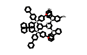 CC(C)(C)c1ccc2c(c1)c1cc(C(C)(C)C)ccc1n2-c1cc(-n2c3ccccc3c3ccccc32)nc(-c2cc([Si](c3ccc(-c4ccccc4)cc3)(c3ccc(-c4ccccc4)cc3)c3ccc(-c4ccccc4)cc3)cc([Si](c3ccc(-c4ccccc4)cc3)(c3ccc(-c4ccccc4)cc3)c3ccc(-c4ccccc4)cc3)c2)n1